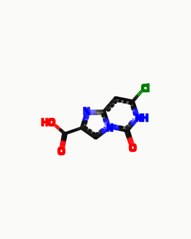 O=C(O)c1cn2c(=O)[nH]c(Cl)cc2n1